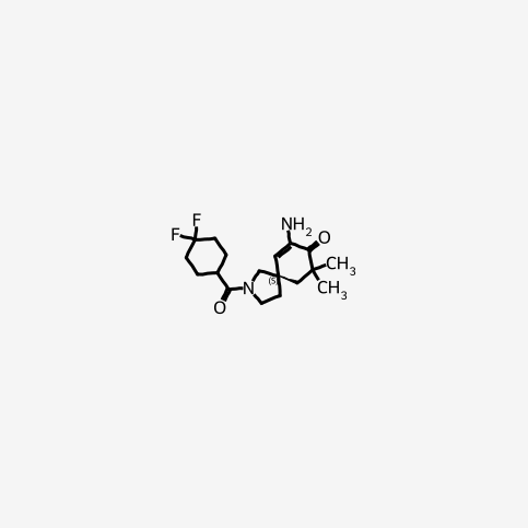 CC1(C)C[C@@]2(C=C(N)C1=O)CCN(C(=O)C1CCC(F)(F)CC1)C2